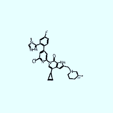 C[C@H]1CCCN(Cc2cc3c(C4CC4)cn(-c4cc(-c5ccc(F)cc5-c5nncn5C)cc(Cl)n4)c(=O)c3[nH]2)C1